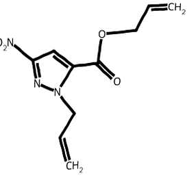 C=CCOC(=O)c1cc([N+](=O)[O-])nn1CC=C